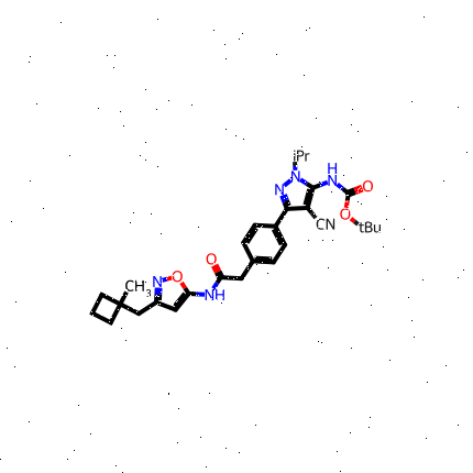 CC(C)n1nc(-c2ccc(CC(=O)Nc3cc(CC4(C)CCC4)no3)cc2)c(C#N)c1NC(=O)OC(C)(C)C